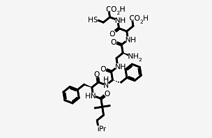 CC(C)CCC(C)(C)C(=O)N[C@@H](Cc1ccccc1)C(=O)N[C@@H](Cc1ccccc1)C(=O)NC[C@H](N)C(=O)NC(CC(=O)O)C(=O)NC(CS)C(=O)O